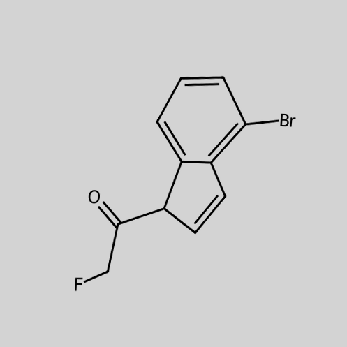 O=C(CF)C1C=Cc2c(Br)cccc21